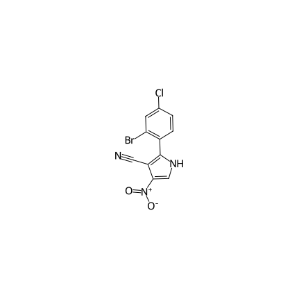 N#Cc1c([N+](=O)[O-])c[nH]c1-c1ccc(Cl)cc1Br